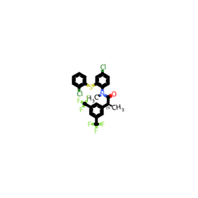 C[C@H](C(=O)N(C)c1ccc(Cl)cc1Sc1ccccc1Cl)c1cc(C(F)(F)F)cc(C(F)(F)F)c1